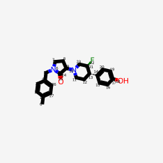 Cc1ccc(CN2CCC(N3CC[C@@H](c4ccc(O)cc4)[C@H](F)C3)C2=O)cc1